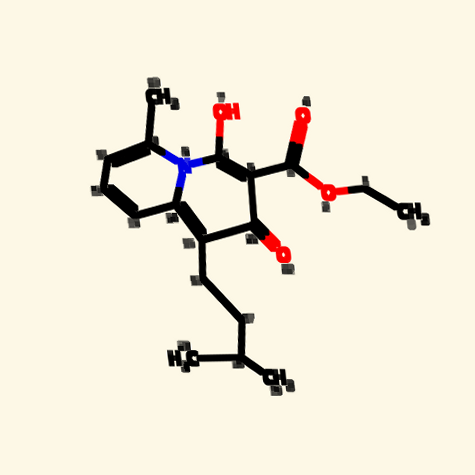 CCOC(=O)c1c(O)n2c(C)cccc2c(CCC(C)C)c1=O